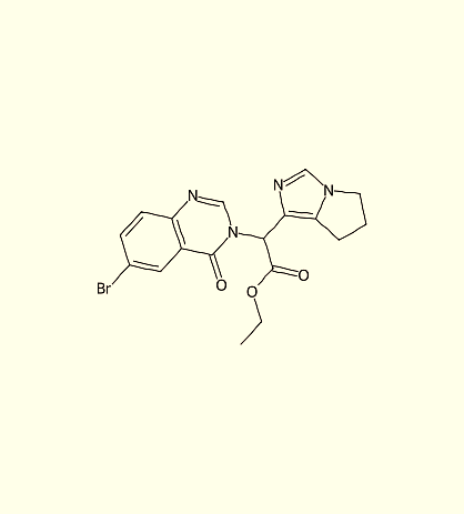 CCOC(=O)C(c1ncn2c1CCC2)n1cnc2ccc(Br)cc2c1=O